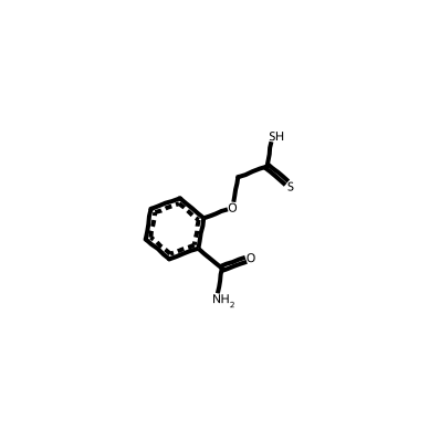 NC(=O)c1ccccc1OCC(=S)S